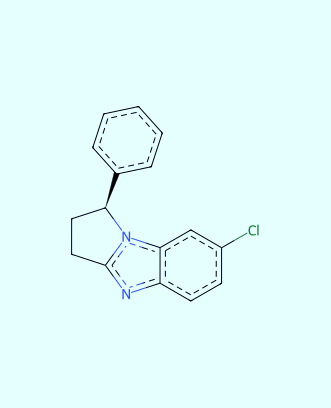 Clc1ccc2nc3n(c2c1)[C@H](c1ccccc1)CC3